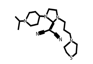 CC(C)N1CCC(N2CCN(CCCN3CCSCC3)C2=C(C#N)C#N)CC1